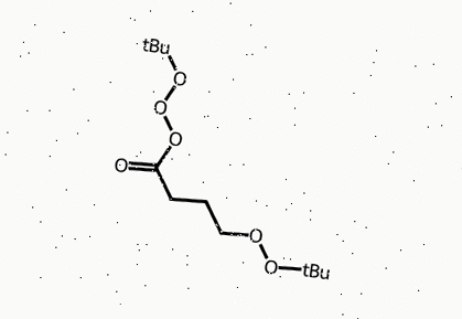 CC(C)(C)OOCCCC(=O)OOOC(C)(C)C